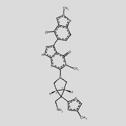 Cc1csc(C2(CN)[C@@H]3CN(c4nc5[nH]nc(-c6ccc7nn(C)cc7c6Cl)c5c(=O)n4C)C[C@@H]32)n1